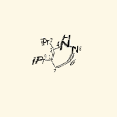 CC(C)C1=C(C(C)C)NN=C=C1